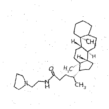 CC(CCC(=O)NCCN1CCCC1)[C@H]1CC[C@H]2[C@@H]3CCC4CCCC[C@]4(C)[C@H]3CC[C@]12C